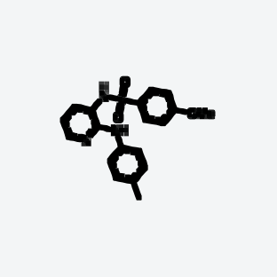 COc1ccc(S(=O)(=O)Nc2cccnc2Nc2ccc(C)cc2)cc1